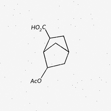 CC(=O)OC1CC2CC(C(=O)O)C1C2